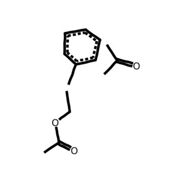 CC(C)=O.CCOC(C)=O.Cc1ccccc1